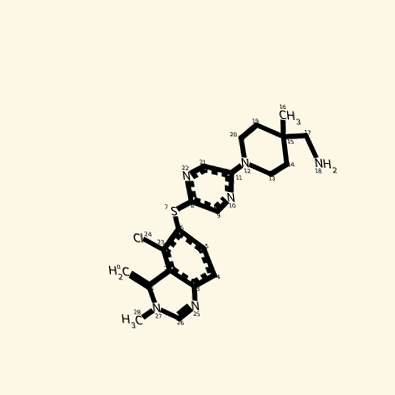 C=C1c2c(ccc(Sc3cnc(N4CCC(C)(CN)CC4)cn3)c2Cl)N=CN1C